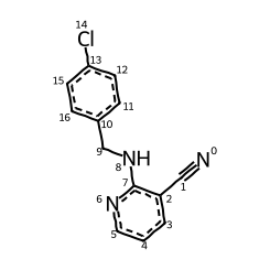 N#Cc1cccnc1NCc1ccc(Cl)cc1